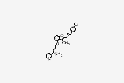 Cc1c(CSCc2ccc(Cl)cc2)oc2cccc(OCCCC(N)c3cccnc3)c12